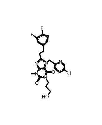 Cn1c(=O)n(CCCO)c(=O)c2c1nc(CCc1ccc(F)c(F)c1)n2Cc1ccc(Cl)cn1